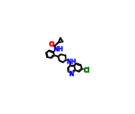 O=C(Nc1ccccc1C1CCC(Nc2ccnc3cc(Cl)ccc23)CC1)C1CC1